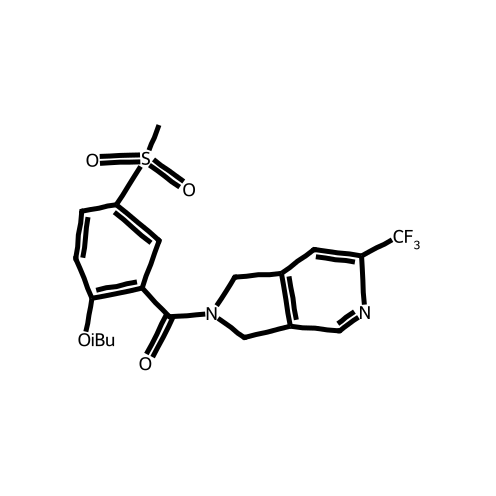 CC(C)COc1ccc(S(C)(=O)=O)cc1C(=O)N1Cc2cnc(C(F)(F)F)cc2C1